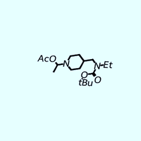 CCN(CC1CCN(C(C)OC(C)=O)CC1)C(=O)OC(C)(C)C